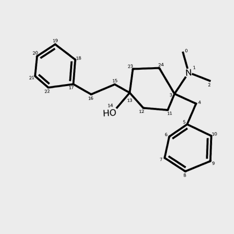 CN(C)C1(Cc2ccccc2)CCC(O)(CCc2ccccc2)CC1